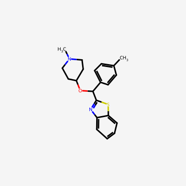 Cc1ccc(C(OC2CCN(C)CC2)c2nc3ccccc3s2)cc1